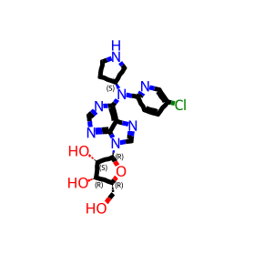 OC[C@H]1O[C@@H](n2cnc3c(N(c4ccc(Cl)cn4)[C@H]4CCNC4)ncnc32)[C@@H](O)[C@H]1O